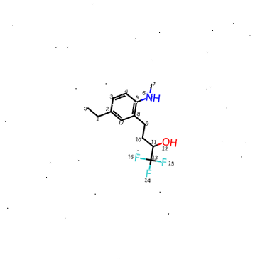 CCc1ccc(NC)c(CCC(O)C(F)(F)F)c1